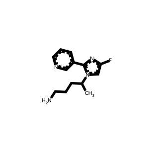 CC(CCCN)n1cc(F)nc1-c1cccnc1